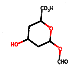 O=COC1CC(O)CC(C(=O)O)O1